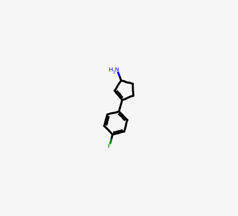 NC1C=C(c2ccc(F)cc2)CC1